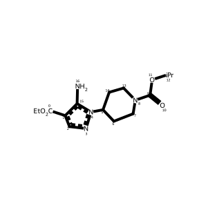 CCOC(=O)c1cnn(C2CCN(C(=O)OC(C)C)CC2)c1N